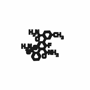 Cc1ccc(C(N)=O)c(-c2ccc(-c3ccccc3S(N)(=O)=O)c(C(N)=O)c2F)c1